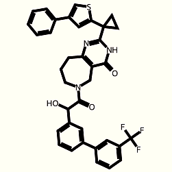 O=C(C(O)c1cccc(-c2cccc(C(F)(F)F)c2)c1)N1CCCc2nc(C3(c4cc(-c5ccccc5)cs4)CC3)[nH]c(=O)c2C1